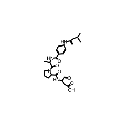 C=C(CC(C)C)Nc1ccc(C(=O)NC(C)C(=O)N2CCCC2C(=O)NC(C=O)CC(=O)O)cc1